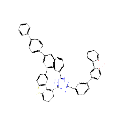 C1=c2sc3ccc(-c4cccc(-c5ccc(-c6ccccc6)cc5)c4)cc3c2=C(c2nc(-c3ccccc3)nc(-c3cccc(-c4ccc5oc6ccccc6c5c4)c3)n2)CC1